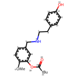 COc1ccc(CNCCc2ccc(O)cc2)cc1OC(=O)C(C)(C)C